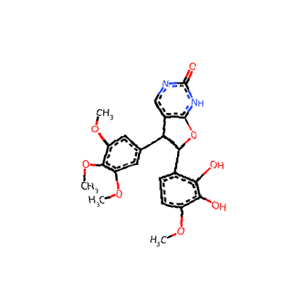 COc1ccc(C2Oc3[nH]c(=O)ncc3C2c2cc(OC)c(OC)c(OC)c2)c(O)c1O